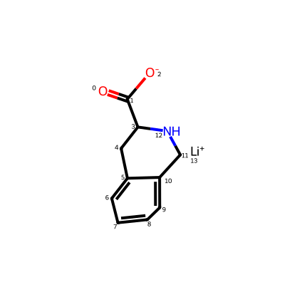 O=C([O-])C1Cc2ccccc2CN1.[Li+]